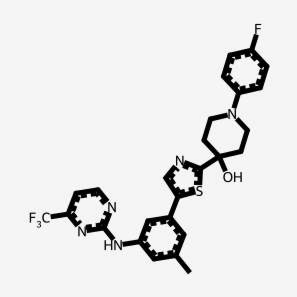 Cc1cc(Nc2nccc(C(F)(F)F)n2)cc(-c2cnc(C3(O)CCN(c4ccc(F)cc4)CC3)s2)c1